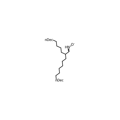 CCCCCCCCCCCCCCCCC(C=[NH+][O-])CCCCCCCCCCCCCC